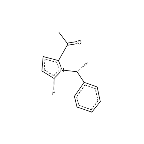 CC(=O)c1ccc(F)n1[C@H](C)c1ccccc1